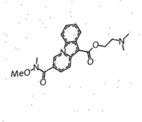 CON(C)C(=O)c1ccc2c(C(=O)OCCN(C)C)c3ccccc3n2c1